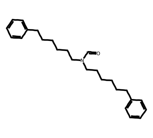 O=[C]N(CCCCCCc1ccccc1)CCCCCCc1ccccc1